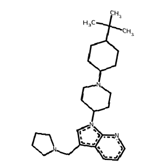 CC(C)(C)C1CCC(N2CCC(n3cc(CN4CCCC4)c4cccnc43)CC2)CC1